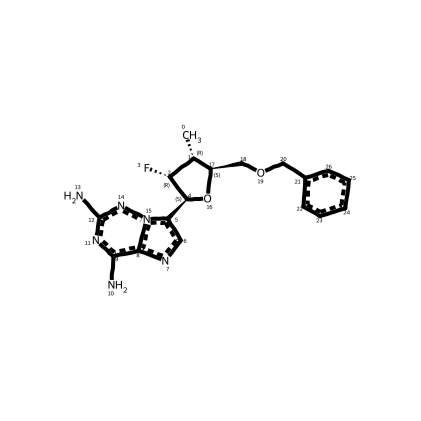 C[C@H]1[C@@H](F)[C@H](c2cnc3c(N)nc(N)nn23)O[C@@H]1COCc1ccccc1